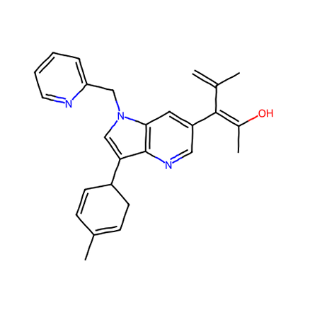 C=C(C)/C(=C(/C)O)c1cnc2c(C3C=CC(C)=CC3)cn(Cc3ccccn3)c2c1